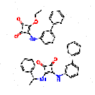 CC(Nc1c(Nc2cccc(-c3ccccc3)c2)c(=O)c1=O)c1ccccc1.CCOc1c(Nc2cccc(-c3ccccc3)c2)c(=O)c1=O